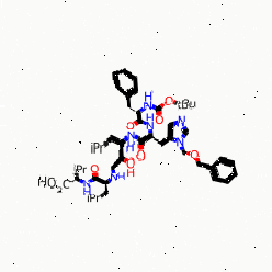 CC(C)CC(NC(=O)[C@H](Cc1cncn1COCc1ccccc1)NC(=O)[C@H](Cc1ccccc1)NC(=O)OC(C)(C)C)C(O)CN[C@@H](CC(C)C)C(=O)N[C@H](C(=O)O)C(C)C